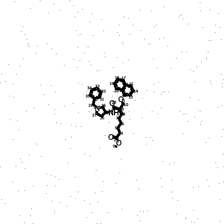 COC(=O)CCCCC=C(COc1cccc2ccccc12)C(=O)NC1CCN(Cc2ccccc2)C1